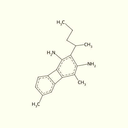 CCCC(C)c1c(N)c(C)c2c(c1N)-c1ccc(C)cc1-2